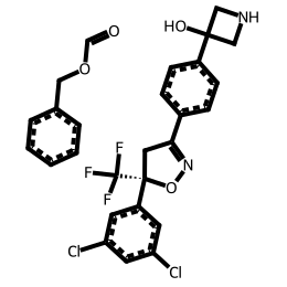 O=COCc1ccccc1.OC1(c2ccc(C3=NO[C@](c4cc(Cl)cc(Cl)c4)(C(F)(F)F)C3)cc2)CNC1